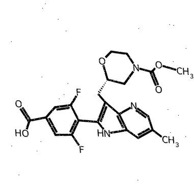 COC(=O)N1CCO[C@@H](Cc2c(-c3c(F)cc(C(=O)O)cc3F)[nH]c3cc(C)cnc23)C1